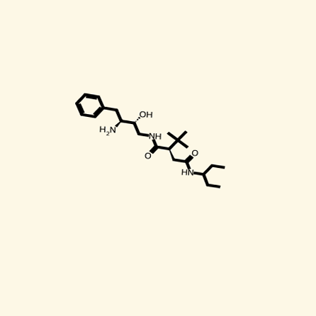 CCC(CC)NC(=O)C[C@@H](C(=O)NC[C@@H](O)[C@@H](N)Cc1ccccc1)C(C)(C)C